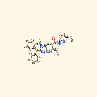 CCc1coc(NC(=O)c2cc3c(nc2OC)nc(C(c2ccccc2)c2ccccc2)n3CC)n1